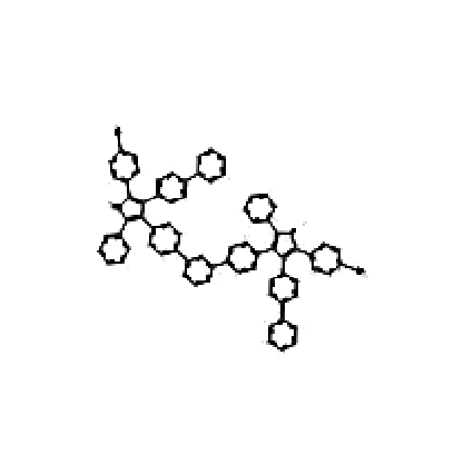 C#Cc1ccc(C2=C(c3ccc(-c4ccccc4)cc3)C(c3ccc(-c4cccc(-c5ccc(C6=C(c7ccccc7)C(=O)C(c7ccc(C#C)cc7)=C6c6ccc(-c7ccccc7)cc6)cc5)c4)cc3)=C(c3ccccc3)C2=O)cc1